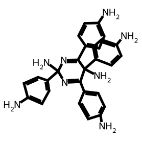 Nc1ccc(C2=NC(N)(c3ccc(N)cc3)N=C(c3ccc(N)cc3)C2(N)c2ccc(N)cc2)cc1